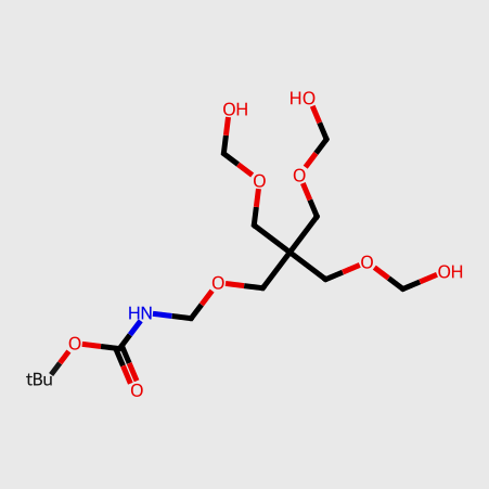 CC(C)(C)OC(=O)NCOCC(COCO)(COCO)COCO